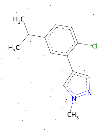 CC(C)c1ccc(Cl)c(-c2cnn(C)c2)c1